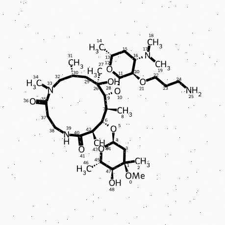 CO[C@]1(C)C[C@H](O[C@H]2[C@H](C)[C@@H](O[C@@H]3O[C@H](C)C[C@H](N(C)C)[C@H]3OCCCN)[C@](C)(O)C[C@@H](C)CN(C)C(=O)CCNC(=O)[C@@H]2C)O[C@@H](C)[C@@H]1O